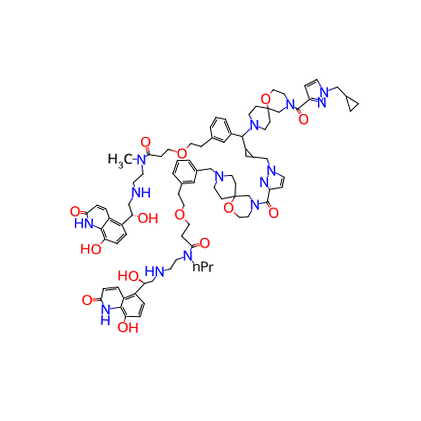 CCCN(CCNC[C@H](O)c1ccc(O)c2[nH]c(=O)ccc12)C(=O)CCOCCc1cccc(CN2CCC3(CC2)CN(C(=O)c2ccn(CC4CC4C(c4cccc(CCOCCC(=O)N(C)CCNC[C@H](O)c5ccc(O)c6[nH]c(=O)ccc56)c4)N4CCC5(CC4)CN(C(=O)c4ccn(CC6CC6)n4)CCO5)n2)CCO3)c1